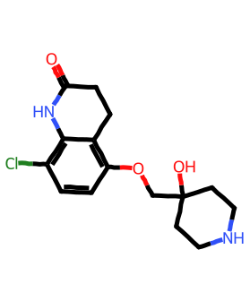 O=C1CCc2c(OCC3(O)CCNCC3)ccc(Cl)c2N1